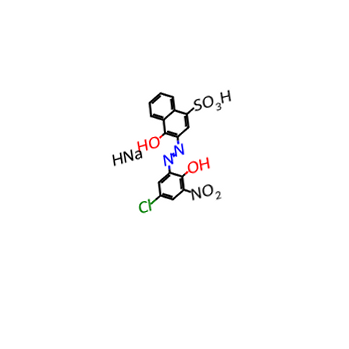 O=[N+]([O-])c1cc(Cl)cc(N=Nc2cc(S(=O)(=O)O)c3ccccc3c2O)c1O.[NaH]